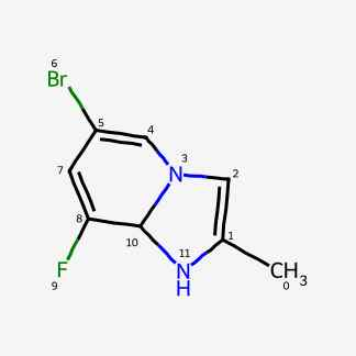 CC1=CN2C=C(Br)C=C(F)C2N1